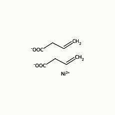 C=CCC(=O)[O-].C=CCC(=O)[O-].[Ni+2]